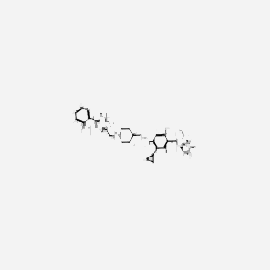 CS(=O)(=O)NC(=O)c1cc(C2CC2)c(OCC2CCN(Cc3nc(-c4ccccc4Cl)no3)CC2)cc1F